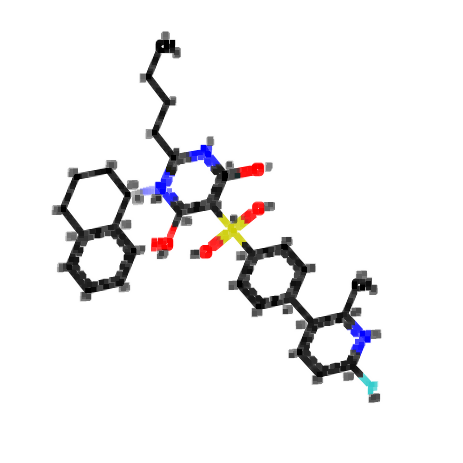 CCCCc1nc(=O)c(S(=O)(=O)c2ccc(-c3ccc(F)nc3C)cc2)c(O)n1[C@H]1CCCc2ccccc21